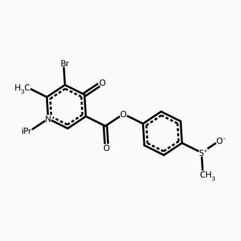 Cc1c(Br)c(=O)c(C(=O)Oc2ccc([S+](C)[O-])cc2)cn1C(C)C